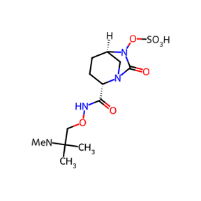 CNC(C)(C)CONC(=O)[C@@H]1CC[C@@H]2CN1C(=O)N2OS(=O)(=O)O